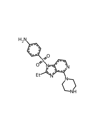 CCc1nc2c(N3CCNCC3)nccc2n1S(=O)(=O)c1ccc(N)cc1